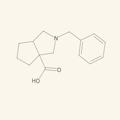 O=C(O)C12CCCC1CN(Cc1ccccc1)C2